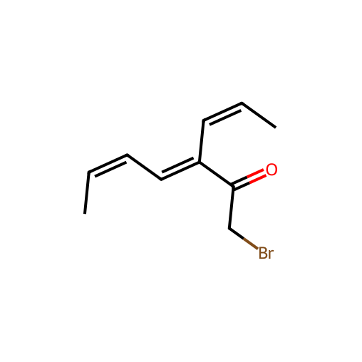 C\C=C/C=C(\C=C/C)C(=O)CBr